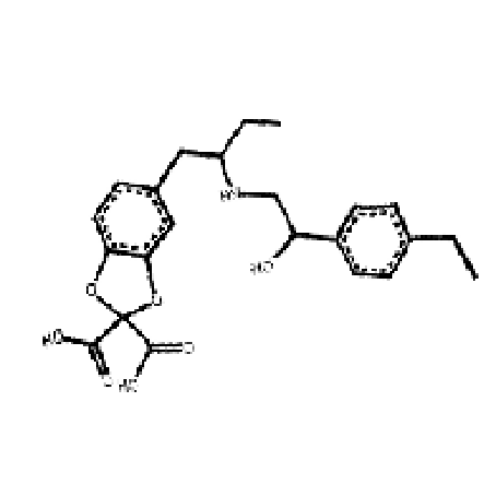 CCc1ccc(C(O)CNC(CC)Cc2ccc3c(c2)OC(C(=O)O)(C(=O)O)O3)cc1